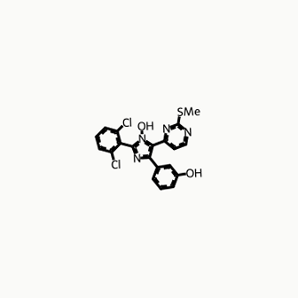 CSc1nccc(-c2c(-c3cccc(O)c3)nc(-c3c(Cl)cccc3Cl)n2O)n1